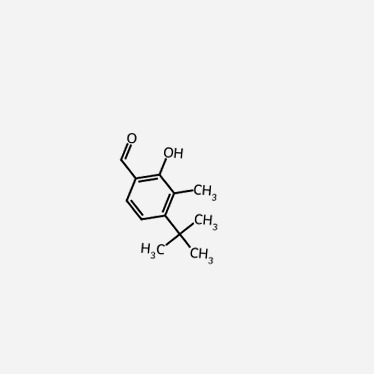 Cc1c(C(C)(C)C)ccc(C=O)c1O